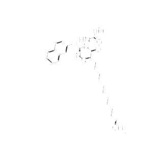 C=CCCCCCCCCCCc1nnc(Oc2ccc3ccccc3c2)n(NC(=O)CCC)c1=O